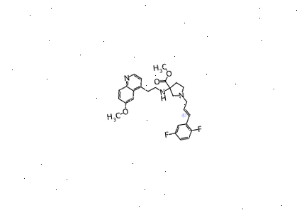 COC(=O)C1(NCCc2ccnc3ccc(OC)cc23)CCN(C/C=C/c2cc(F)ccc2F)C1